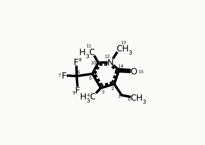 CCc1c(C)c(C(F)(F)F)c(C)n(C)c1=O